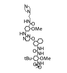 COc1cc(Nc2nccc(Oc3ccc(NC(=O)Nc4cc(C(C)(C)C)cc(NS(C)(=O)=O)c4OC)c4ccccc34)n2)ccc1C(=O)NCCCN1CCN(C)CC1